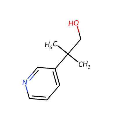 CC(C)(CO)c1c[c]cnc1